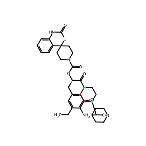 CCc1cc(C[C@@H](OC(=O)N2CCC3(CC2)OC(=O)Nc2ccccc23)C(=O)N2CCN(C3CN4CCC3CC4)CC2)cc(Cl)c1N